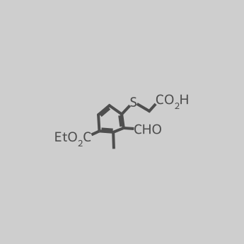 CCOC(=O)c1ccc(SCC(=O)O)c(C=O)c1C